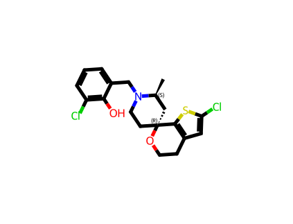 C[C@H]1C[C@@]2(CCN1Cc1cccc(Cl)c1O)OCCc1cc(Cl)sc12